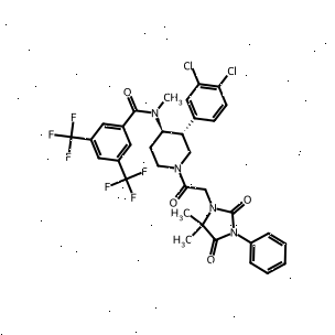 CN(C(=O)c1cc(C(F)(F)F)cc(C(F)(F)F)c1)[C@@H]1CCN(C(=O)CN2C(=O)N(c3ccccc3)C(=O)C2(C)C)C[C@H]1c1ccc(Cl)c(Cl)c1